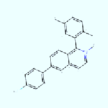 Cc1ccc(C)c(-c2c3ccc(-c4ccc(F)cc4)cc3cc[n+]2C)c1